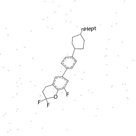 CCCCCCCC1CCC(c2ccc(-c3cc(F)c4c(c3)CCC(F)(F)O4)cc2)CC1